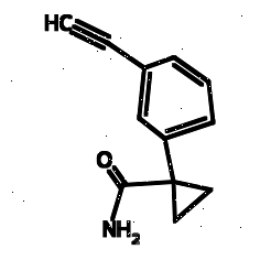 C#Cc1cccc(C2(C(N)=O)CC2)c1